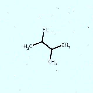 [CH2]C(CC)[C](C)C